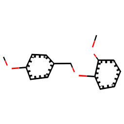 COc1ccc(COc2ccc[c]c2OC)cc1